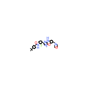 Cn1cc(-c2cccc(NC(=O)c3ccc(C(C)(C)C)cc3)c2F)nc(Nc2ccc(CN3CCOCC3)cc2)c1=O